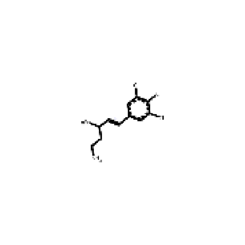 CCCC(/C=C/c1cc(Cl)c(Cl)c(Cl)c1)CCN